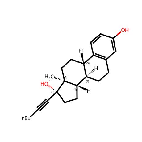 CCCCC#C[C@]1(O)CC[C@H]2[C@@H]3CCc4cc(O)ccc4[C@H]3CC[C@@]21C